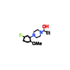 CCC(O)N1CCN(c2cc(F)ccc2OC)CC1